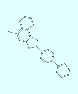 Clc1cc2c(c3ccccc13)OC(c1ccc(-c3ccccc3)cc1)N2